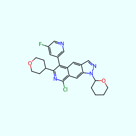 Fc1cncc(-c2c(C3CCOCC3)nc(Cl)c3cc4c(cnn4C4CCCCO4)cc23)c1